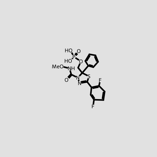 CONC(=O)N1N=C(c2cc(F)ccc2F)SC1(COP(=O)(O)O)c1ccccc1